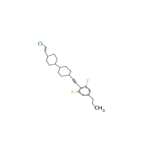 CCCc1cc(F)c(C#CC2CCC(C3CCC(/C=C/Cl)CC3)CC2)c(F)c1